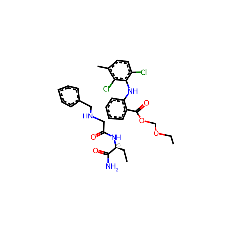 CCOCOC(=O)c1ccccc1Nc1c(Cl)ccc(C)c1Cl.CC[C@H](NC(=O)CNCc1ccccc1)C(N)=O